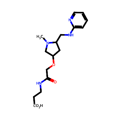 CN1CC(OCC(=O)NCCC(=O)O)CC1CNc1ccccn1